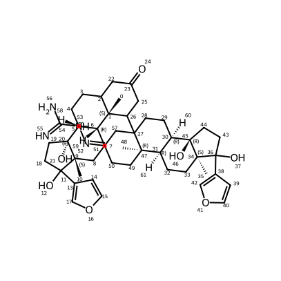 C[C@]12C(CC[C@@H]3[C@H]1CC[C@]1(C)C(O)(c4ccoc4)CC[C@@]31O)CC(=O)CC2C12CC[C@@H]3[C@@H](CC[C@]4(C)C(O)(c5ccoc5)CC[C@@]34O)[C@@]1(C)CCC(=NNC(=N)N)C2